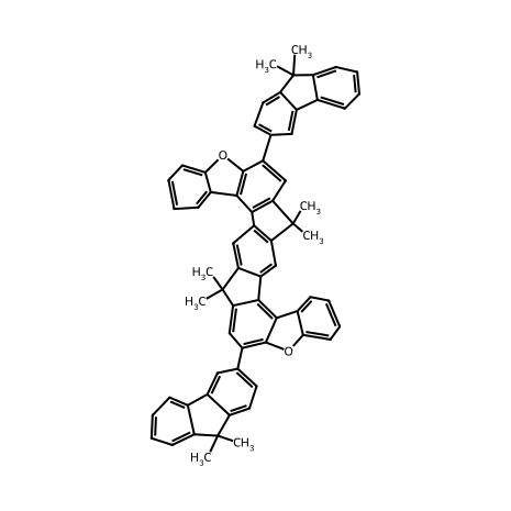 CC1(C)c2ccccc2-c2cc(-c3cc4c(c5c3oc3ccccc35)-c3cc5c(cc3C4(C)C)-c3c(cc(-c4ccc6c(c4)-c4ccccc4C6(C)C)c4oc6ccccc6c34)C5(C)C)ccc21